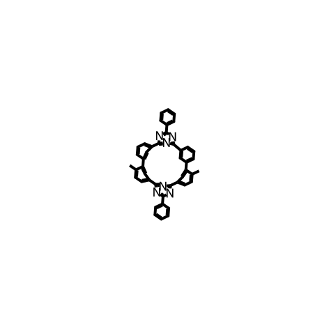 Cc1ccc2cc1c1cccc(c1)c1nc(-c3ccccc3)nc(n1)c1cccc(c1)c1cc(ccc1C)c1nc(-c3ccccc3)nc2n1